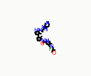 C=C(Nc1cccc(-c2cccc(NC(=O)c3cc4c(cn3)CN(CC3(F)COC3)C4)c2C)c1C)c1nc2c(n1C)CCN(C)C2